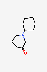 O=C1CCCN(C2CCCCC2)C1